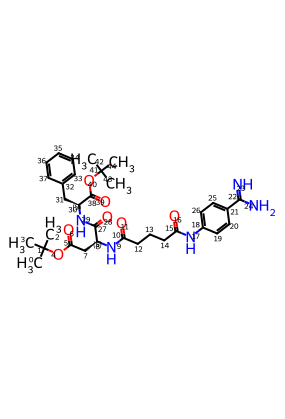 CC(C)(C)OC(=O)C[C@H](NC(=O)CCCC(=O)Nc1ccc(C(=N)N)cc1)C(=O)N[C@@H](Cc1ccccc1)C(=O)OC(C)(C)C